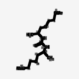 COCCOCC(C)NC(=O)NC(C)COCCOC